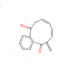 C=C1/C=C\C=C/CC(=O)c2ccccc2C1=O